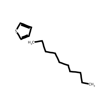 CCCCCCCCCC.c1ccsc1